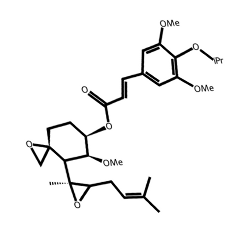 COc1cc(/C=C/C(=O)O[C@@H]2CC[C@]3(CO3)C([C@]3(C)OC3CC=C(C)C)[C@@H]2OC)cc(OC)c1OC(C)C